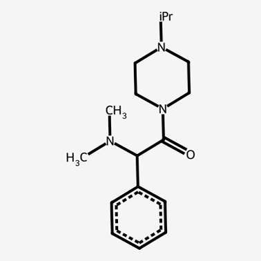 CC(C)N1CCN(C(=O)C(c2ccccc2)N(C)C)CC1